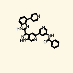 O=C(Nc1cncc(-c2cc3c(-c4nc5c(-c6ccncc6)cccc5[nH]4)n[nH]c3cn2)c1)c1ccccc1